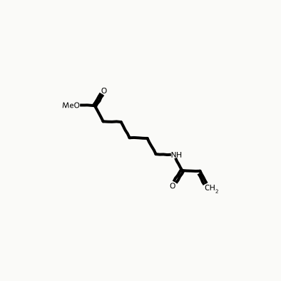 C=CC(=O)NCCCCCC(=O)OC